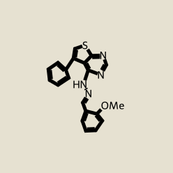 COc1ccccc1/C=N/Nc1ncnc2scc(-c3ccccc3)c12